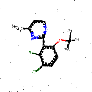 [2H]C([2H])([2H])Oc1ccc(Cl)c(F)c1-c1nccc(C(=O)O)n1